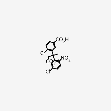 CC(CC(=O)O)(c1cc(C(=O)O)ccc1Cl)c1cc(Cl)ccc1[N+](=O)[O-]